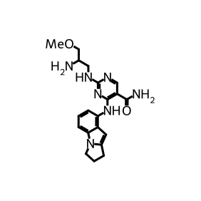 COCC(N)CNc1ncc(C(N)=O)c(Nc2cccc3c2cc2n3CCC2)n1